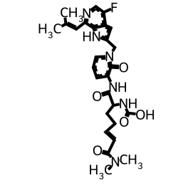 CC(C)=Cc1ncc(F)c2cc(Cn3cccc(NC(=O)C(CCC=CC(=O)N(C)C)NC(=O)O)c3=O)[nH]c12